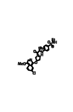 CCNS(=O)(=O)c1ccc(NC(C(=O)N2CC[C@@H](Oc3ncc(OC)c4ccc(Cl)cc34)C2)C(C)(C)C)cc1